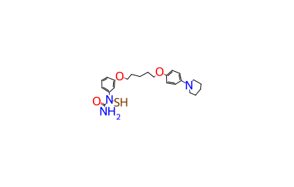 NC(=O)N(S)c1cccc(OCCCCCOc2ccc(N3CCCCC3)cc2)c1